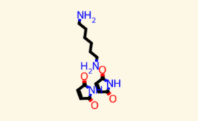 NCCCCCCN.O=C1C=CC(=O)N1.O=C1C=CC(=O)N1